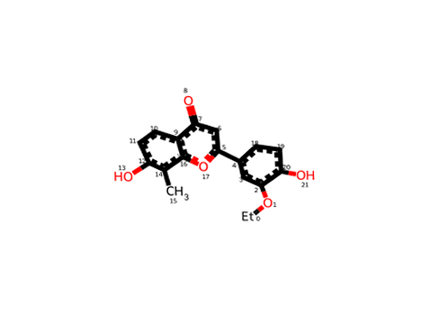 CCOc1cc(-c2cc(=O)c3ccc(O)c(C)c3o2)ccc1O